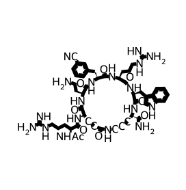 CC(=O)N[C@@H](CCCNC(=N)N)C(=O)N[C@H]1CCC(=O)NCCC[C@@H](C(N)=O)NC(=O)[C@H](Cc2c[nH]c3ccccc23)NC(=O)[C@H](CCCNC(=N)N)NC(=O)[C@@H](Cc2cccc(C#N)c2)NC(=O)[C@H](CCN)NC1=O